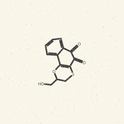 O=C1C(=O)c2ccccc2C2=C1SCC(CO)O2